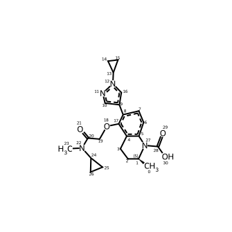 C[C@H]1CCc2c(ccc(-c3cnn(C4CC4)c3)c2OCC(=O)N(C)C2CC2)N1C(=O)O